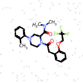 Cc1ccccc1N1CCN(C(=O)Cc2ccccc2OCC(F)(F)F)C(C(=O)N(C)C)C1